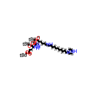 CC(C)(C)OC(=O)CC[C@H](NC(=O)N[C@@H](CCCCNCCCCCCCCCCCN1CCNCC1)C(=O)OC(C)(C)C)C(=O)OC(C)(C)C